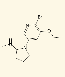 CCOc1cc(N2CCCC2NC)cnc1Br